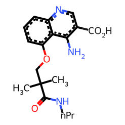 CCCNC(=O)C(C)(C)COc1cccc2ncc(C(=O)O)c(N)c12